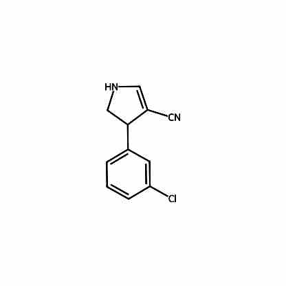 N#CC1=CNCC1c1cccc(Cl)c1